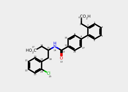 O=C(O)Cc1ccccc1-c1ccc(C(=O)NC(CC(=O)O)Cc2ccccc2Cl)cc1